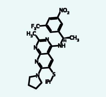 Cc1nc(N[C@H](C)c2cc([N+](=O)[O-])cc(C(F)(F)F)c2)c2cc(SC(C)C)c(N3CCCC3)nc2n1